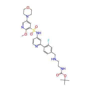 COc1ncc(N2CCOCC2)cc1S(=O)(=O)Nc1ccnc(-c2ccc(CNCCNC(=O)OC(C)(C)C)cc2F)c1